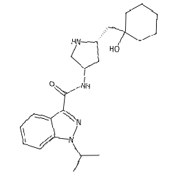 CC(C)n1nc(C(=O)NC2CN[C@H](CC3(O)CCCCC3)C2)c2ccccc21